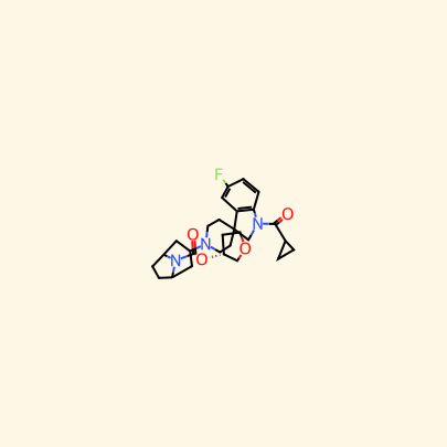 O=C(C1CC1)N1CC2(CCN(C3CC4CCC(C3)N4C(=O)O[C@@H]3CCOC3)CC2)c2cc(F)ccc21